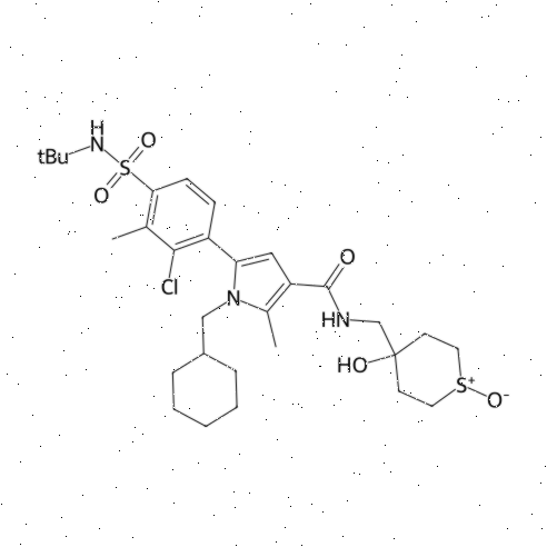 Cc1c(S(=O)(=O)NC(C)(C)C)ccc(-c2cc(C(=O)NCC3(O)CC[S+]([O-])CC3)c(C)n2CC2CCCCC2)c1Cl